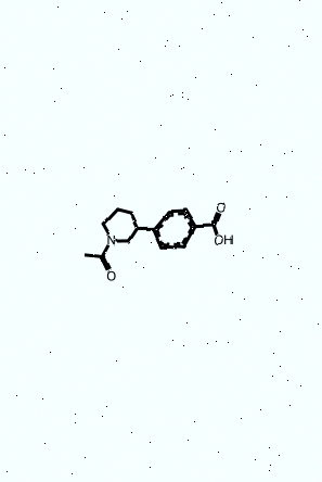 CC(=O)N1CCCC(c2ccc(C(=O)O)cc2)C1